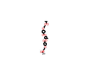 C=C(C)C(=O)OCCCOc1ccc(C(=O)Oc2ccc(OC(=O)c3ccc(OCCCOC(=O)C(C)C)cc3)c(C)c2)cc1